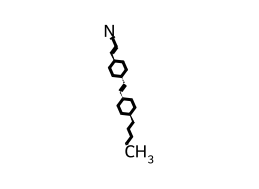 CCCCC[C@H]1CC[C@H](C=C[C@H]2CC[C@H](C=CC#N)CC2)CC1